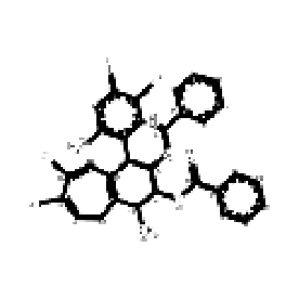 Cc1cc(I)c(I)cc1C1C2=C(CC=C(I)C(I)=C2)C(C)C(OC(=O)c2ccccc2)C1OC(=O)c1ccccc1